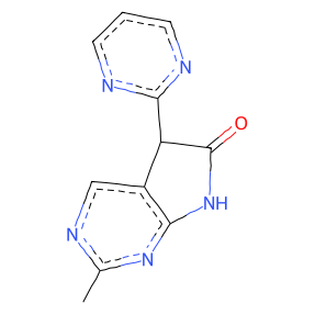 Cc1ncc2c(n1)NC(=O)C2c1ncccn1